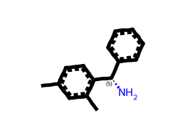 Cc1ccc([C@@H](N)c2ccccc2)c(C)c1